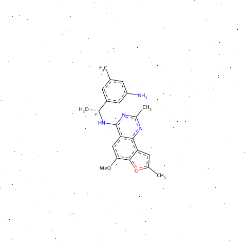 COc1cc2c(N[C@H](C)c3cc(N)cc(C(F)(F)F)c3)nc(C)nc2c2cc(C)oc12